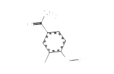 Cc1cc(C(N)=O)ccc1OC(C)C